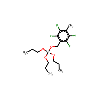 CCC[O][Zr]([O]CCC)([O]CCC)[O]Cc1c(F)c(F)c(C)c(F)c1F